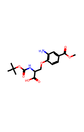 COC(=O)c1ccc(OCC(NC(=O)OC(C)(C)C)C(=O)O)c(N)c1